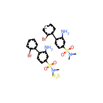 CN(C)S(=O)(=O)c1ccc(-c2ccccc2Br)c(N)c1.CN(C)S(=O)(=O)c1ccc(-c2ccccc2Br)c(N)c1.S